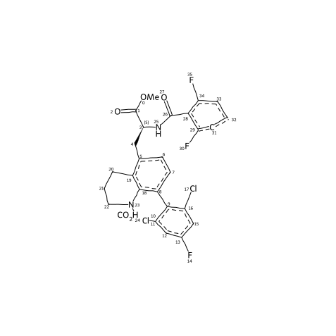 COC(=O)[C@H](Cc1ccc(-c2c(Cl)cc(F)cc2Cl)c2c1CCCN2C(=O)O)NC(=O)c1c(F)cccc1F